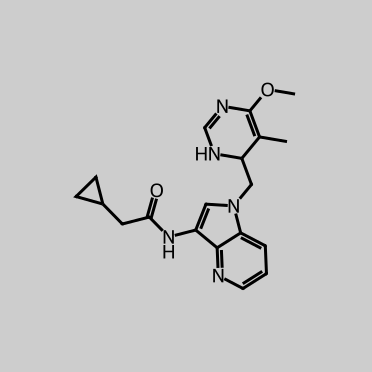 COC1=C(C)C(Cn2cc(NC(=O)CC3CC3)c3ncccc32)NC=N1